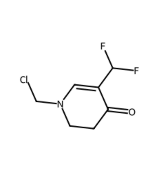 O=C1CCN(CCl)C=C1C(F)F